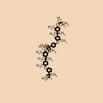 CCC(C)(C)Oc1ccc(C(C)(C)c2ccc(Oc3ccc(C(CC)(CC)C(CC)(CC)Oc4ccc(C(C)(C)c5ccc(Oc6cccc(C(C)(CC)CC)c6)c(C)c5)cc4C)cc3)c(C)c2)cc1C